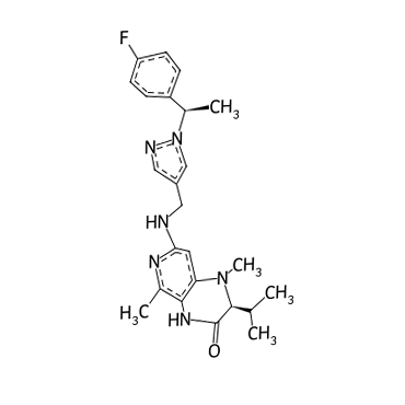 Cc1nc(NCc2cnn([C@H](C)c3ccc(F)cc3)c2)cc2c1NC(=O)[C@H](C(C)C)N2C